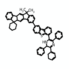 CC1(C)C2=CC3c4ccccc4C4(CCCCC4)C3C=C2c2cc(-c3ccc4sc5c(C6=C(c7ccccc7)N=C(C7=CC=CCC7)C(c7ccccc7)N6)cccc5c4c3)ccc21